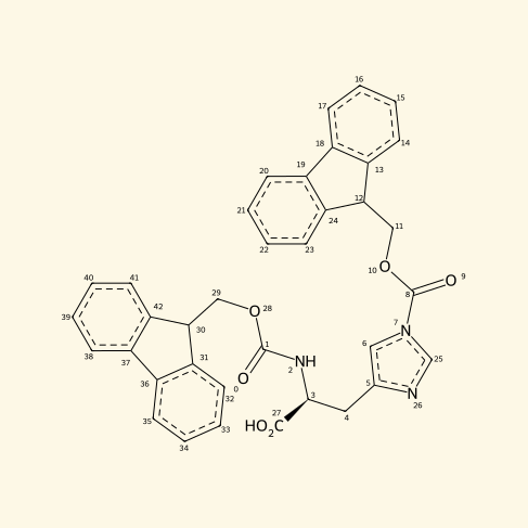 O=C(N[C@@H](Cc1cn(C(=O)OCC2c3ccccc3-c3ccccc32)cn1)C(=O)O)OCC1c2ccccc2-c2ccccc21